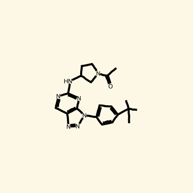 CC(=O)N1CCC(Nc2ncc3nnn(-c4ccc(C(C)(C)C)cc4)c3n2)C1